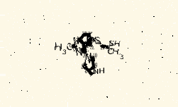 Cc1nc(N2CC3CNC3C2)c2cc(SCC(C)S)ccc2n1